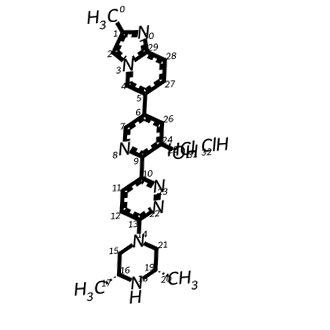 Cc1cn2cc(-c3cnc(-c4ccc(N5C[C@@H](C)N[C@@H](C)C5)nn4)c(O)c3)ccc2n1.Cl.Cl